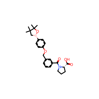 CC1(C)CB(c2ccc(OCc3cccc(C(=O)N4CCC[C@H]4C(=O)O)c3)cc2)OC1(C)C